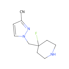 N#Cc1ccn(CC2(F)CCNCC2)n1